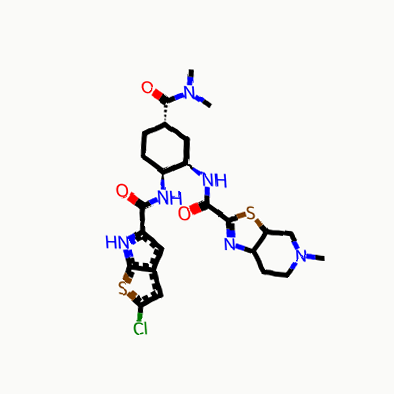 CN1CCC2N=C(C(=O)N[C@@H]3C[C@@H](C(=O)N(C)C)CC[C@@H]3NC(=O)c3cc4cc(Cl)sc4[nH]3)SC2C1